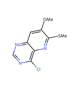 COc1cc2ncnc(Cl)c2nc1SC